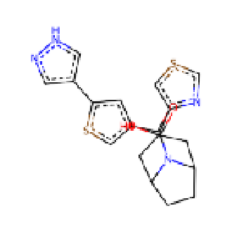 O=C(c1csc(-c2cn[nH]c2)c1)N1C2CCC1CC(O)(c1cscn1)C2